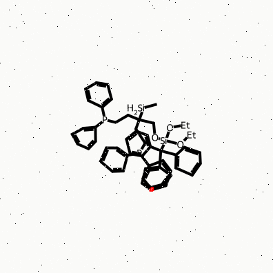 CCO[Si](OCC)(OCC(CCP(c1ccccc1)c1ccccc1)(CCP(c1ccccc1)c1ccccc1)[SiH2]C)C(c1ccccc1)(c1ccccc1)c1ccccc1